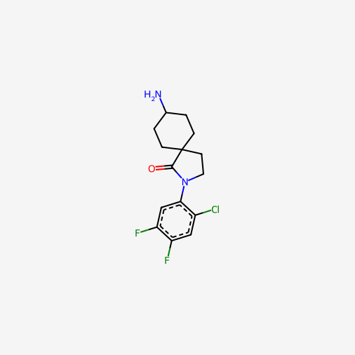 NC1CCC2(CC1)CCN(c1cc(F)c(F)cc1Cl)C2=O